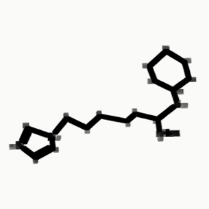 CCCCCCC(CCCCCn1ccnc1)SC1CCCCC1